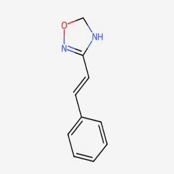 C(=Cc1ccccc1)C1=NOCN1